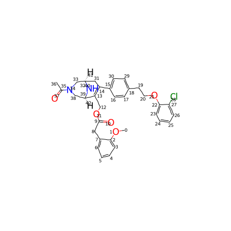 COc1ccccc1CC(=O)OCC1=C(c2ccc(CCOc3ccccc3Cl)cc2)C[C@@H]2CN(C(C)=O)C[C@H]1N2